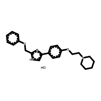 Cl.c1ccc(OCc2nc(-c3ccc(OCCN4CCCCC4)cc3)c[nH]2)cc1